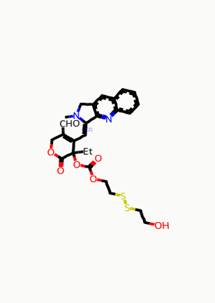 CCC1(OC(=O)OCCSSCCO)C(=O)OCC(C=O)=C1/C=C1/c2nc3ccccc3cc2CN1C